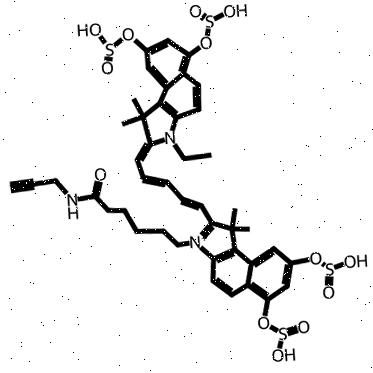 C#CCNC(=O)CCCCC[N+]1=C(C=CC=CC=C2N(CC)c3ccc4c(OS(=O)O)cc(OS(=O)O)cc4c3C2(C)C)C(C)(C)c2c1ccc1c(OS(=O)O)cc(OS(=O)O)cc21